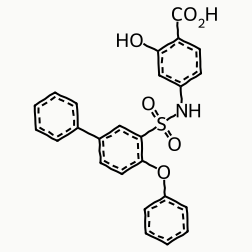 O=C(O)c1ccc(NS(=O)(=O)c2cc(-c3ccccc3)ccc2Oc2ccccc2)cc1O